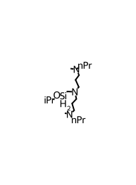 CCCN(C)CCCN(CCCN(C)CCC)C[SiH2]OC(C)C